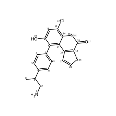 CC(CN)c1ccc(-c2c(O)cc(Cl)c3[nH]c(=O)c4sccc4c23)cc1